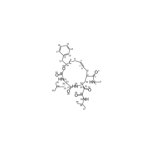 CNC(=O)C1C/C=C/CCC(Cc2ccccc2)OC(=O)N[C@@H](CC(C)C)C(=O)N[C@H](C(=O)C(=O)NC(C)C)C1